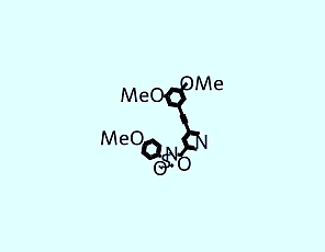 COc1ccc(S(C)(=O)=NC(=O)c2cncc(C#Cc3cc(OC)cc(OC)c3)c2)cc1